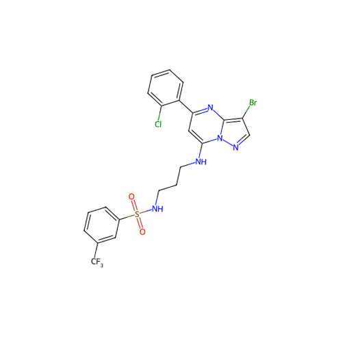 O=S(=O)(NCCCNc1cc(-c2ccccc2Cl)nc2c(Br)cnn12)c1cccc(C(F)(F)F)c1